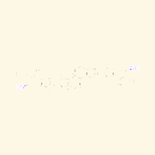 N=C/C(=C(\c1ccc(-c2cc3c(ccc4c5cc(-c6ccc(/C(=C(\C=N)C(F)(F)F)C(F)(F)F)s6)sc5ccc34)s2)s1)C(F)(F)F)C(F)(F)F